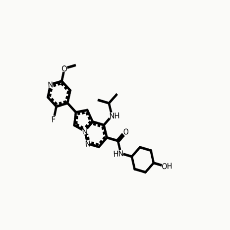 COc1cc(-c2cc3c(NC(C)C)c(C(=O)NC4CCC(O)CC4)cnn3c2)c(F)cn1